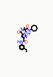 CCc1cccc(NC(=O)c2cc3n(n2)CC(C)(C(=O)NC2CCCCCC2)N(C)C3=O)c1